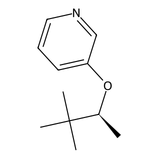 C[C@H](Oc1cccnc1)C(C)(C)C